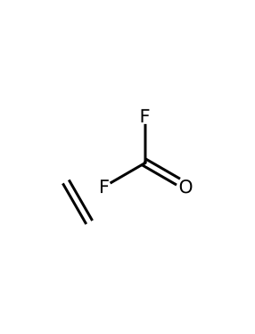 C=C.O=C(F)F